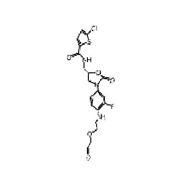 O=CCOCCNc1ccc(N2C[C@H](CNC(=O)c3ccc(Cl)s3)OC2=O)cc1F